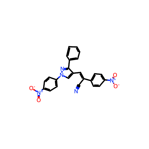 N#CC(=Cc1cn(-c2ccc([N+](=O)[O-])cc2)nc1-c1ccccc1)c1ccc([N+](=O)[O-])cc1